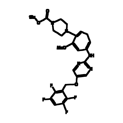 COC1=CC(Nc2ncc(OCc3c(F)c(F)cc(F)c3F)cn2)=CCC=C1N1CCN(C(=O)OC(C)(C)C)CC1